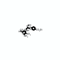 CCOC(=O)Nc1cc(NC/C(CNc2ccc(C(=O)OCC)cc2)=N/O)c([N+](=O)[O-])c(N)n1